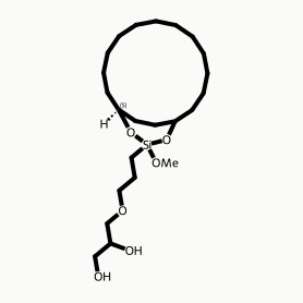 CO[Si]1(CCCOCC(O)CO)OC2CCCCCCCCCCCC[C@@H](CC2)O1